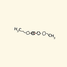 CCCCC1CCC(C23CCC(c4ccc([C@H]5CC[C@H](CCC)CC5)cc4)(CC2)CC3)CC1